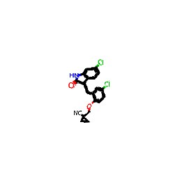 N#CC1(COc2ccc(Cl)cc2/C=C2/C(=O)Nc3cc(Cl)ccc32)CC1